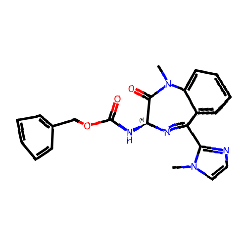 CN1C(=O)[C@H](NC(=O)OCc2ccccc2)N=C(c2nccn2C)c2ccccc21